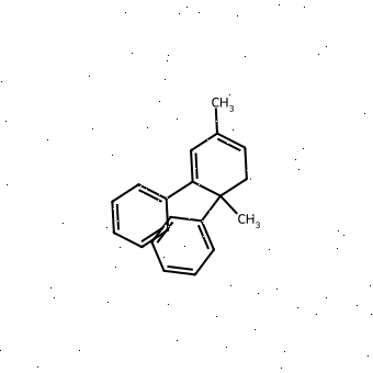 CC1=C[CH]C(C)(c2ccccc2)C(c2ccccc2)=C1